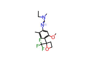 CCN(C)/C=N/c1cc(OC)c(C2(C(F)(F)F)CCO2)cc1C